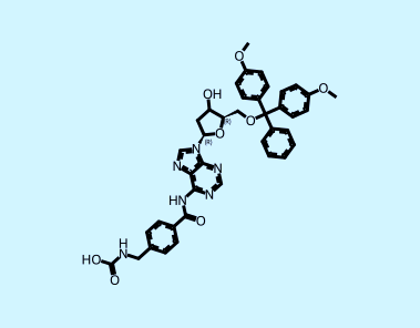 COc1ccc(C(OC[C@H]2O[C@@H](n3cnc4c(NC(=O)c5ccc(CNC(=O)O)cc5)ncnc43)CC2O)(c2ccccc2)c2ccc(OC)cc2)cc1